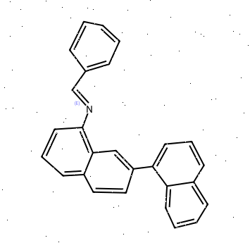 C(=N\c1cccc2ccc(-c3cccc4ccccc34)cc12)/c1ccccc1